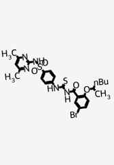 CCCCC(C)Oc1ccc(Br)cc1C(=O)NC(=S)Nc1ccc(S(=O)(=O)Nc2nc(C)cc(C)n2)cc1